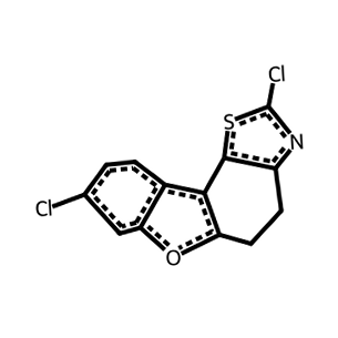 Clc1ccc2c3c(oc2c1)CCc1nc(Cl)sc1-3